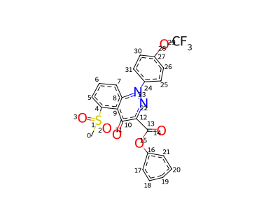 CS(=O)(=O)c1cccc2c1c(=O)c(C(=O)Oc1ccccc1)nn2-c1ccc(OC(F)(F)F)cc1